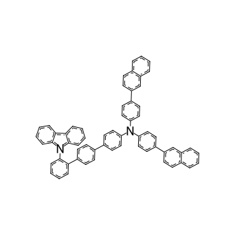 c1ccc(-n2c3ccccc3c3ccccc32)c(-c2ccc(-c3ccc(N(c4ccc(-c5ccc6ccccc6c5)cc4)c4ccc(-c5ccc6ccccc6c5)cc4)cc3)cc2)c1